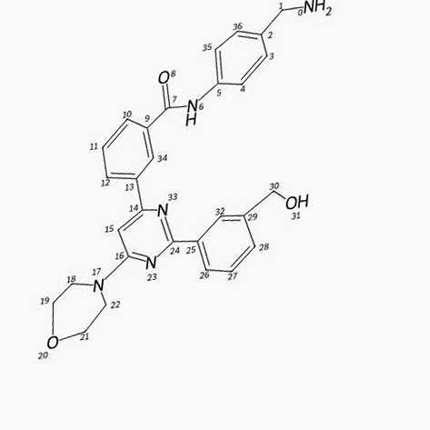 NCc1ccc(NC(=O)c2cccc(-c3cc(N4CCOCC4)nc(-c4cccc(CO)c4)n3)c2)cc1